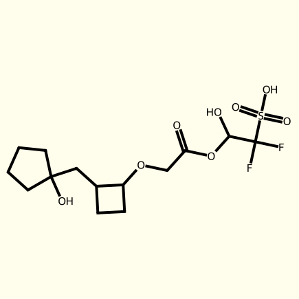 O=C(COC1CCC1CC1(O)CCCC1)OC(O)C(F)(F)S(=O)(=O)O